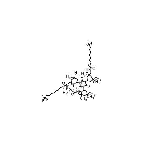 CC(C)OC(=O)NCC1(C)CC(n2c(=O)n(C3CC(C)(C)CC(C)(CNC(=O)OCCCCCCCC(F)(F)F)C3)c(=O)n(C3CC(C)(C)CC(C)(CNC(=O)OCCCCCCCC(F)(F)F)C3)c2=O)CC(C)(C)C1